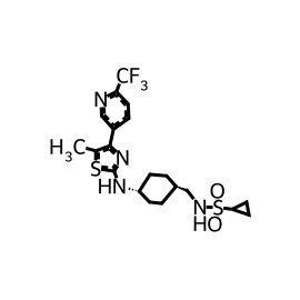 Cc1sc(N[C@H]2CC[C@H](CNS(=O)(=O)C3CC3)CC2)nc1-c1ccc(C(F)(F)F)nc1